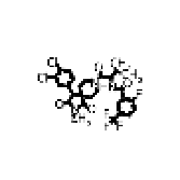 CC(C)[C@@H](NC(=O)c1cc(C(F)(F)F)ccc1F)C(=O)N1CCC2(CC1)C(=O)N(C)C(=O)C2c1ccc(Cl)c(Cl)c1